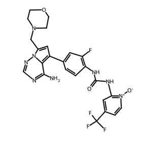 Nc1ncnn2c(CN3CCOCC3)cc(-c3ccc(NC(=O)Nc4cc(C(F)(F)F)cc[n+]4[O-])c(F)c3)c12